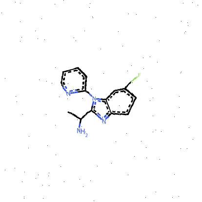 CC(N)c1nc2ccc(F)cc2n1-c1ccccn1